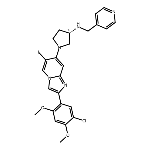 COc1cc(OC)c(-c2cn3cc(I)c(N4CC[C@H](NCc5ccncc5)C4)cc3n2)cc1Cl